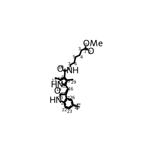 COC(=O)CCCCCNC(=O)c1c(C)[nH]c(C=C2C(=O)Nc3ccc(F)cc32)c1C